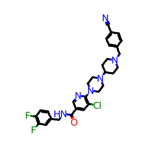 N#Cc1ccc(CN2CCC(N3CCN(c4ncc(C(=O)NCc5ccc(F)c(F)c5)cc4Cl)CC3)CC2)cc1